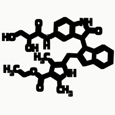 CCOC(=O)c1c(C)[nH]c(CC2=Cc3ccccc3C2C2C(=O)Nc3ccc(NC(=O)C(O)CO)cc32)c1C